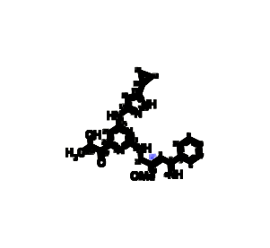 CO/C(=C\C(=N)c1ccccc1)CNc1nc(Nc2cc(C3CC3)[nH]n2)cc(C(=O)C(C)O)n1